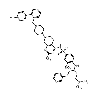 CN(C)CCC(CSc1ccccc1)Nc1ccc(S(=O)(=O)Nc2nc(C(F)(F)F)nc3c2CCN(C2CCN(Cc4ccccc4-c4ccc(Cl)cc4)CC2)C3)cc1[N+](=O)[O-]